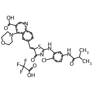 CC(C)C(=O)Nc1ccc(Cl)c(NC2=NC(=O)/C(=C/c3ccc4ncc(C(=O)O)c(N5CCOCC5)c4c3)S2)c1.O=C(O)C(F)(F)F